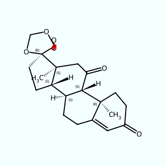 C[C@]12CCC(=O)C=C1CC[C@@H]1[C@@H]2C(=O)C[C@@]2(C)[C@H]1CC[C@@]21OCOC12COCO2